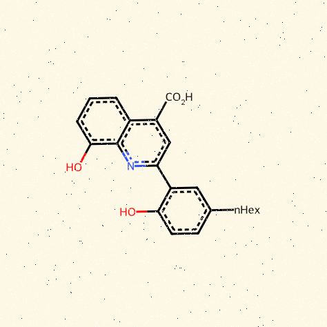 CCCCCCc1ccc(O)c(-c2cc(C(=O)O)c3cccc(O)c3n2)c1